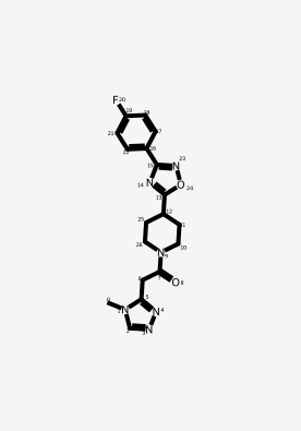 Cn1cnnc1CC(=O)N1CCC(c2nc(-c3ccc(F)cc3)no2)CC1